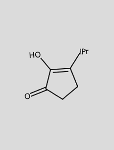 CC(C)C1=C(O)C(=O)CC1